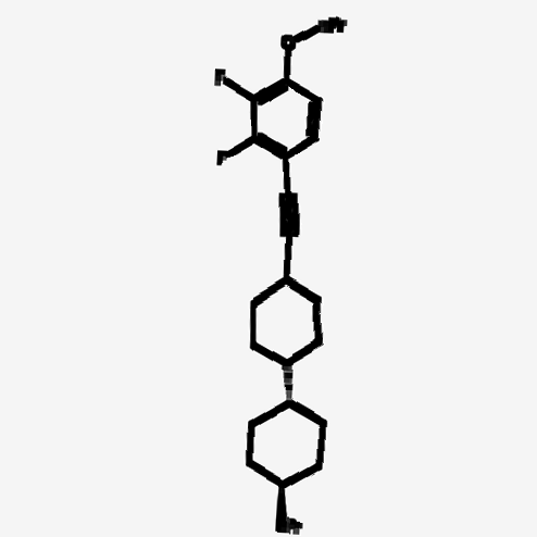 CCCOc1ccc(C#CC2CCC([C@H]3CC[C@H](CCC)CC3)CC2)c(F)c1F